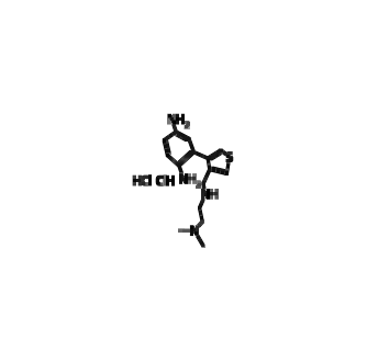 CN(C)CCNCc1cscc1-c1cc(N)ccc1N.Cl.Cl